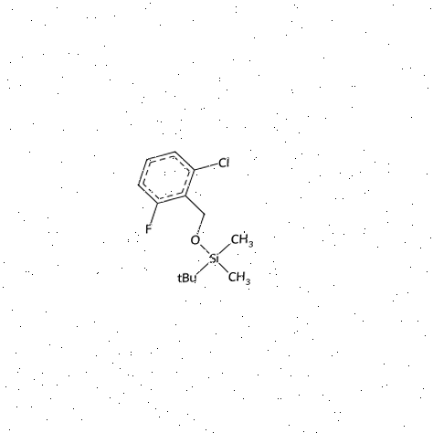 CC(C)(C)[Si](C)(C)OCc1c(F)cccc1Cl